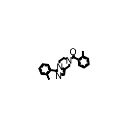 Cc1ccccc1C(=O)N1CCn2c(cnc2-c2ccccc2C)C1